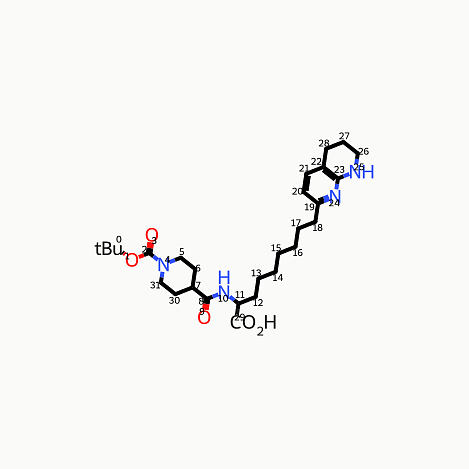 CC(C)(C)OC(=O)N1CCC(C(=O)NC(CCCCCCCc2ccc3c(n2)NCCC3)C(=O)O)CC1